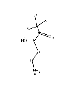 CC(C)(C)C(=O)C(O)CCN